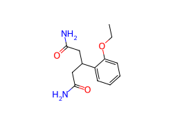 CCOc1ccccc1C(CC(N)=O)CC(N)=O